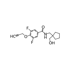 C#CCOc1c(F)cc(C(=O)NCC2(CO)CCCC2)cc1F